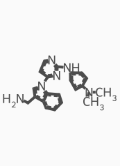 CN(C)c1ccc(Nc2nccc(-n3cc(CN)c4ccccc43)n2)cc1